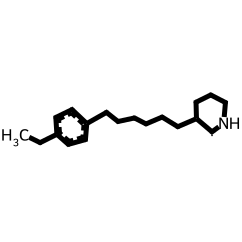 CCc1ccc(CCCCCCC2[CH]NCCC2)cc1